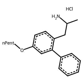 CCCCCOc1ccc(CC(C)N)c(-c2ccccc2)c1.Cl